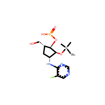 CC(C)(C)[Si](C)(C)O[C@@H]1[C@H](O[PH](=O)O)[C@@H](CO)C[C@H]1Nc1ncncc1F